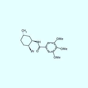 COc1cc(C(=O)N[C@@H]2C[C@@H](C)CC[C@@H]2C(C)C)cc(OC)c1OC